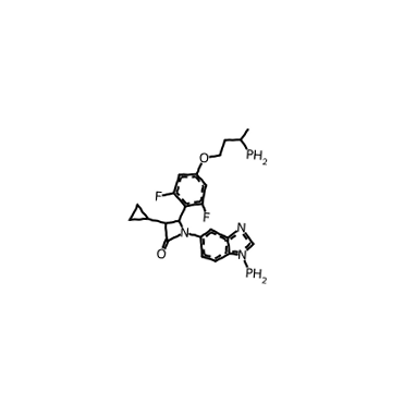 CC(P)CCOc1cc(F)c(C2C(C3CC3)C(=O)N2c2ccc3c(c2)ncn3P)c(F)c1